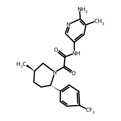 Cc1cc(NC(=O)C(=O)N2C[C@H](C)CC[C@H]2c2ccc(C(F)(F)F)cc2)cnc1N